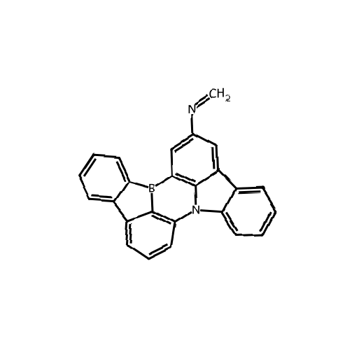 C=Nc1cc2c3c(c1)c1ccccc1n3-c1cccc3c1B2c1ccccc1-3